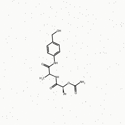 CC(NC(=O)[C@@H](OC(N)=O)C(C)C)C(=O)Nc1ccc(CO)cc1